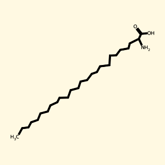 CCCCCCCCCCCCCCCCCCCCCCCCC(N)C(=O)O